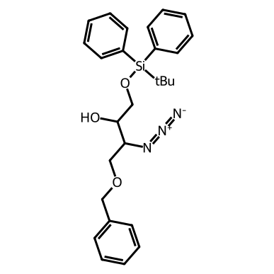 CC(C)(C)[Si](OCC(O)C(COCc1ccccc1)N=[N+]=[N-])(c1ccccc1)c1ccccc1